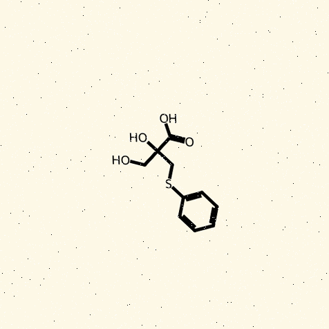 O=C(O)C(O)(CO)CSc1ccccc1